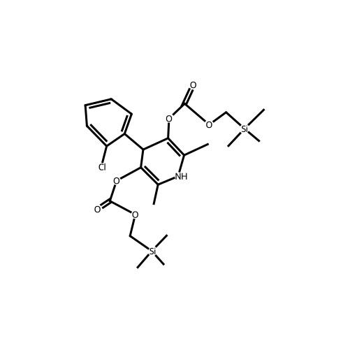 CC1=C(OC(=O)OC[Si](C)(C)C)C(c2ccccc2Cl)C(OC(=O)OC[Si](C)(C)C)=C(C)N1